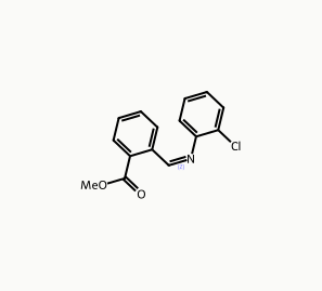 COC(=O)c1ccccc1/C=N\c1ccccc1Cl